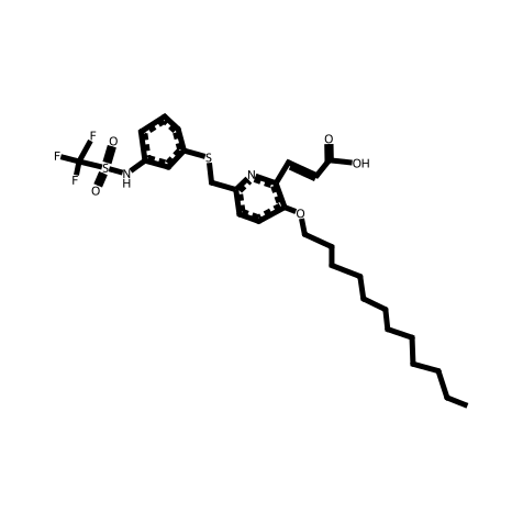 CCCCCCCCCCCCOc1ccc(CSc2cccc(NS(=O)(=O)C(F)(F)F)c2)nc1C=CC(=O)O